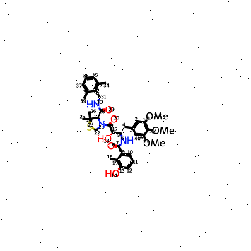 COc1cc(C[C@H](NC(=O)c2cccc(O)c2C)[C@H](O)C(=O)N2CSC(C)(C)[C@H]2C(=O)NCc2c(C)cccc2C)cc(OC)c1OC